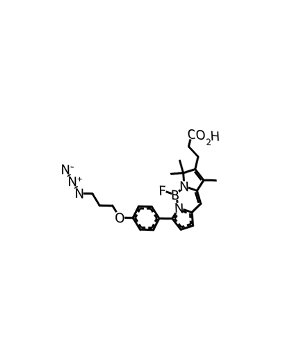 CC1=C(CCC(=O)O)C(C)(C)N2B(F)n3c(ccc3-c3ccc(OCCCN=[N+]=[N-])cc3)C=C12